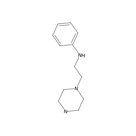 c1ccc(NCCN2CC[N]CC2)cc1